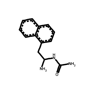 NC(=O)NC(N)Cc1cccc2ccccc12